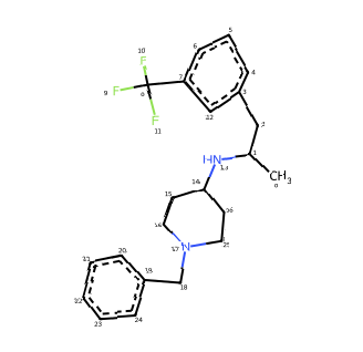 CC(Cc1cccc(C(F)(F)F)c1)NC1CCN(Cc2ccccc2)CC1